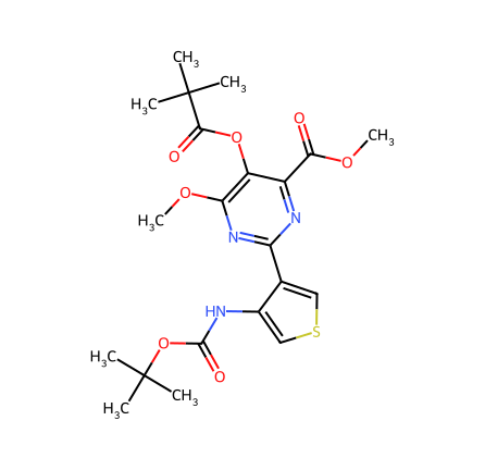 COC(=O)c1nc(-c2cscc2NC(=O)OC(C)(C)C)nc(OC)c1OC(=O)C(C)(C)C